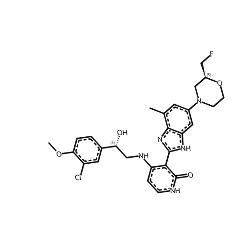 COc1ccc([C@H](O)CNc2cc[nH]c(=O)c2-c2nc3c(C)cc(N4CCO[C@H](CF)C4)cc3[nH]2)cc1Cl